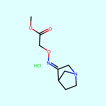 COC(=O)CON=C1CN2CCC1C2.Cl